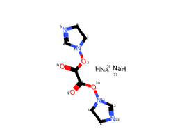 O=C(ON1C=NCC1)C(=O)ON1C=NCC1.[NaH].[NaH]